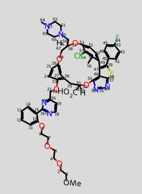 COCCOCCOCCOc1ccccc1-c1nccc(COc2ccc3cc2C[C@@H](C(=O)O)Oc2ncnc4sc(-c5ccc(F)cc5)c(c24)-c2ccc(c(Cl)c2C)O[C@H](CN2CCN(C)CC2)CO3)n1